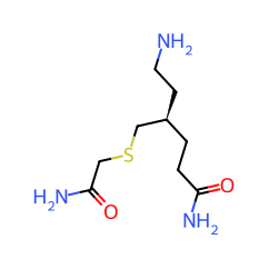 NCC[C@@H](CCC(N)=O)CSCC(N)=O